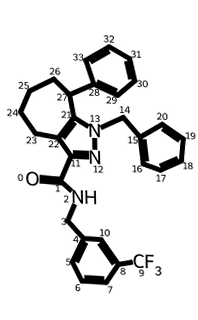 O=C(NCc1cccc(C(F)(F)F)c1)c1nn(Cc2ccccc2)c2c1CCCCC2c1ccccc1